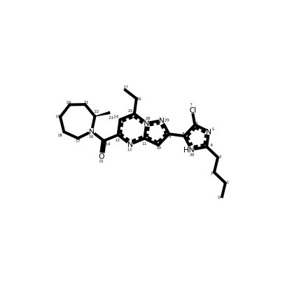 CCCCc1nc(Cl)c(-c2cc3nc(C(=O)N4CCCCC[C@H]4C)cc(CC)n3n2)[nH]1